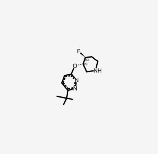 CC(C)(C)c1ccc(O[C@H]2CNCC[C@@H]2F)nn1